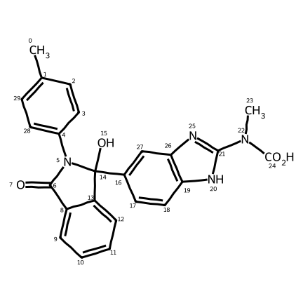 Cc1ccc(N2C(=O)c3ccccc3C2(O)c2ccc3[nH]c(N(C)C(=O)O)nc3c2)cc1